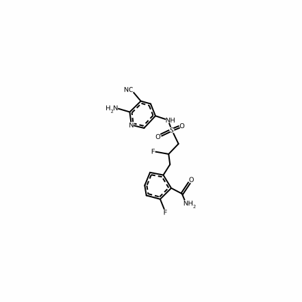 N#Cc1cc(NS(=O)(=O)CC(F)Cc2cccc(F)c2C(N)=O)cnc1N